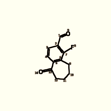 O=Cc1ccc2c(c1F)CCCCC2=O